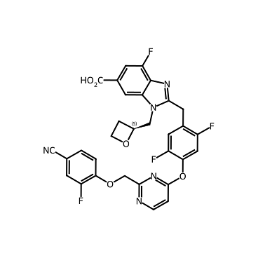 N#Cc1ccc(OCc2nccc(Oc3cc(F)c(Cc4nc5c(F)cc(C(=O)O)cc5n4C[C@@H]4CCO4)cc3F)n2)c(F)c1